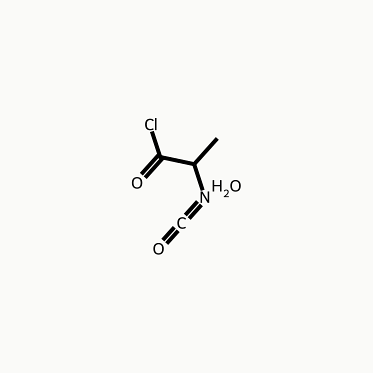 CC(N=C=O)C(=O)Cl.O